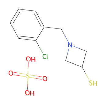 O=S(=O)(O)O.SC1CN(Cc2ccccc2Cl)C1